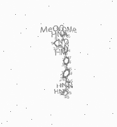 COC(=O)N[C@H](C(=O)N1CCC[C@H]1c1ncc(-c2ccc(-c3ccc(-c4cnc([C@@H]5CCCN5)[nH]4)cc3)cc2)[nH]1)[C@@H](C)OC